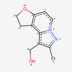 CCc1nn2ccc3c(c2c1CO)CCO3